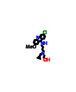 COc1ccc2nc3cc(Cl)ccc3c(NCCCCN(CCO)CC3CC3)c2c1